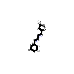 S=c1cc(/C=C/C=C/c2ccccc2)ss1